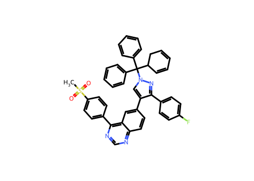 CS(=O)(=O)c1ccc(-c2ncnc3ccc(-c4cn(C(c5ccccc5)(c5ccccc5)C5C=CC=CC5)nc4-c4ccc(F)cc4)cc23)cc1